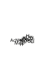 COc1ccc(NC(=O)c2c(Cl)cccc2Cl)c2nccc(NNC(C)=O)c12